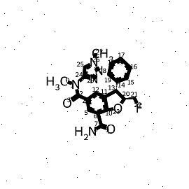 CN(C(=O)c1cc(C(N)=O)c2c(c1)[C@H](c1ccccc1)[C@@H](CF)O2)c1cn(C)nn1